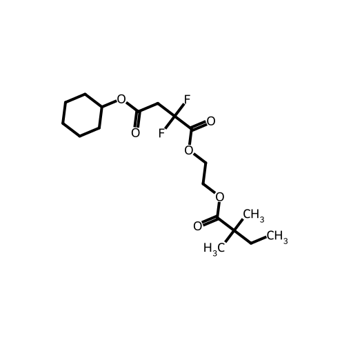 CCC(C)(C)C(=O)OCCOC(=O)C(F)(F)CC(=O)OC1CCCCC1